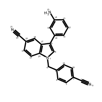 N#Cc1ccc(Cn2cc(-c3cccc(N)c3)c3cc(C#N)ccc32)cc1